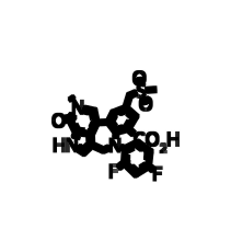 Cn1cc2c3c(c[nH]c3c1=O)CN(c1ccc(F)cc1F)c1c(C(=O)O)cc(CS(C)(=O)=O)cc1-2